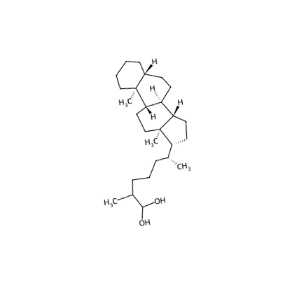 CC(CCC[C@@H](C)[C@H]1CC[C@H]2[C@@H]3CC[C@H]4CCCC[C@]4(C)[C@H]3CC[C@]12C)C(O)O